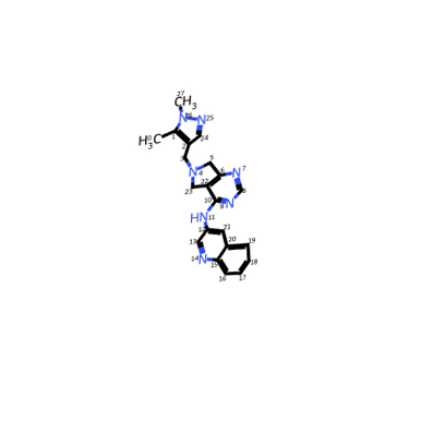 Cc1c(CN2Cc3ncnc(Nc4cnc5ccccc5c4)c3C2)cnn1C